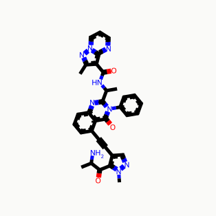 Cc1nn2cccnc2c1C(=O)NC(C)c1nc2cccc(C#Cc3cnn(C)c3C(=O)C(C)N)c2c(=O)n1-c1ccccc1